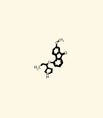 CCC(Oc1cccc2c1-c1ccc(OC)cc1C2=O)C1CCNC1